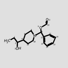 CCC(O)C1CCN(C(OC=O)c2ccccc2)CC1